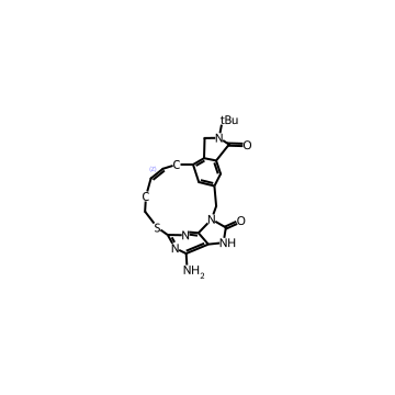 CC(C)(C)N1Cc2c3cc(cc2C1=O)Cn1c(=O)[nH]c2c(N)nc(nc21)SCC/C=C\C3